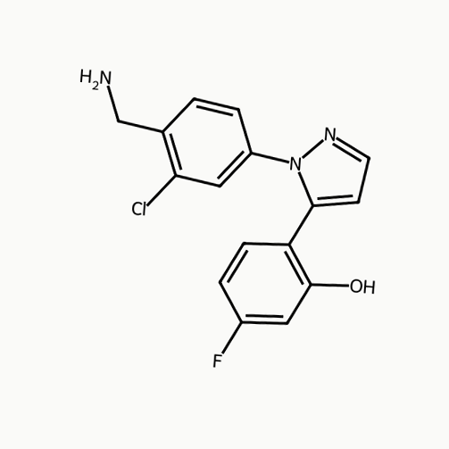 NCc1ccc(-n2nccc2-c2ccc(F)cc2O)cc1Cl